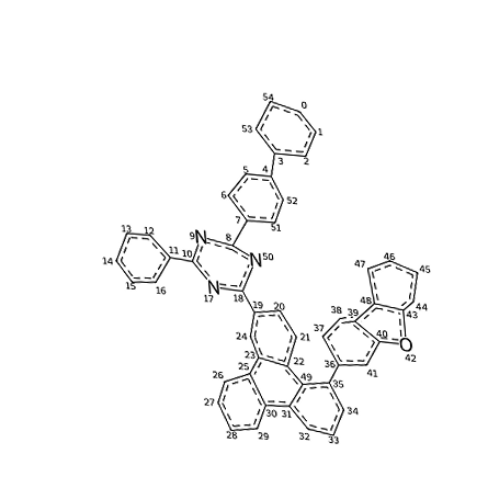 c1ccc(-c2ccc(-c3nc(-c4ccccc4)nc(-c4ccc5c(c4)c4ccccc4c4cccc(-c6ccc7c(c6)oc6ccccc67)c45)n3)cc2)cc1